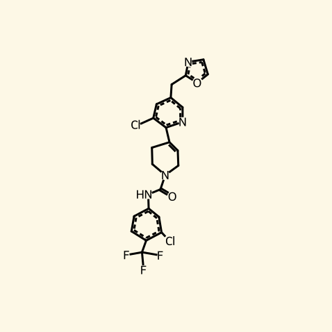 O=C(Nc1ccc(C(F)(F)F)c(Cl)c1)N1CC=C(c2ncc(Cc3ncco3)cc2Cl)CC1